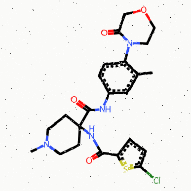 Cc1cc(NC(=O)C2(NC(=O)c3ccc(Cl)s3)CCN(C)CC2)ccc1N1CCOCC1=O